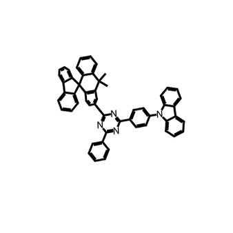 CC1(C)c2ccccc2C2(c3ccccc3-c3ccccc32)c2ccc(-c3nc(-c4ccccc4)nc(-c4ccc(-n5c6ccccc6c6ccccc65)cc4)n3)cc21